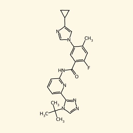 Cc1cc(F)c(C(=O)Nc2cccc(-c3nncn3C(C)(C)C)n2)cc1-n1cnc(C2CC2)c1